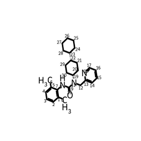 Cc1cccc(C)c1NC(=O)N(Cc1ccccn1)[C@H]1CC[C@@H](C2CCCCC2)CC1